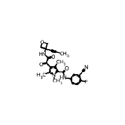 CC#CC1(NC(=O)C(=O)c2c(C)c(C(=O)Nc3ccc(F)c(C#N)c3)n(C)c2C)COC1